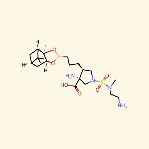 CN(CCN)S(=O)(=O)N1C[C@H](CCCB2O[C@H]3C[C@H]4C[C@H](C4(C)C)[C@@]3(C)O2)[C@](N)(C(=O)O)C1